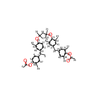 CC(=O)Oc1ccc(C(C)c2ccc(OC(C)(C)CC(C)(C)Oc3c(C)cc(Cc4cc(C)c(OC(C)=O)c(C)c4)cc3C)c(C)c2)cc1C